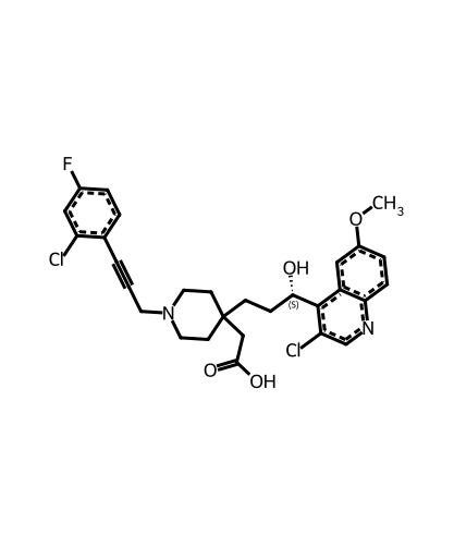 COc1ccc2ncc(Cl)c([C@@H](O)CCC3(CC(=O)O)CCN(CC#Cc4ccc(F)cc4Cl)CC3)c2c1